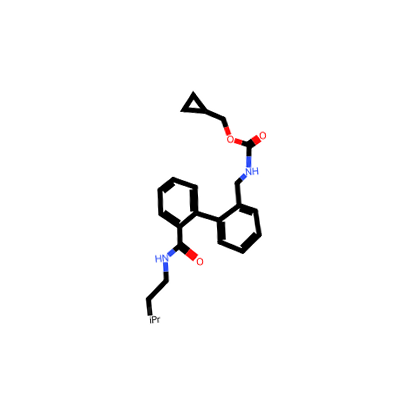 CC(C)CCNC(=O)c1ccccc1-c1ccccc1CNC(=O)OCC1CC1